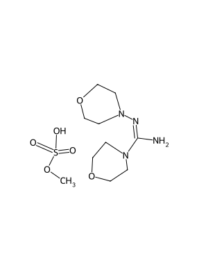 COS(=O)(=O)O.NC(=NN1CCOCC1)N1CCOCC1